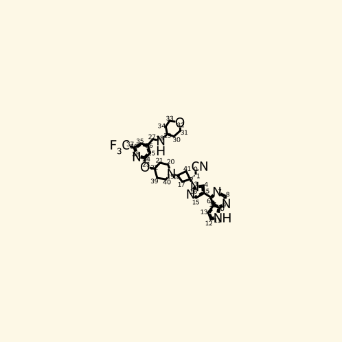 N#CC[C@]1(n2cc(-c3ncnc4[nH]ccc34)cn2)C[C@@H](N2CCC(Oc3cc(CNC4CCOCC4)cc(C(F)(F)F)n3)CC2)C1